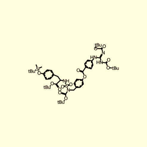 CC(C)(C)OC(=O)N=C(NC(=O)OC(C)(C)C)Nc1ccc(C(=O)Oc2ccc(CN(C(=O)OC(C)(C)C)S(=O)(=O)NC(Cc3ccc(O[Si](C)(C)C(C)(C)C)cc3)C(=O)OC(C)(C)C)cc2)cc1